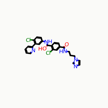 O=C(NCCCn1ccnc1)c1ccc(C(O)Nc2ccc(Cl)c(-c3ccccn3)c2)c(Cl)c1